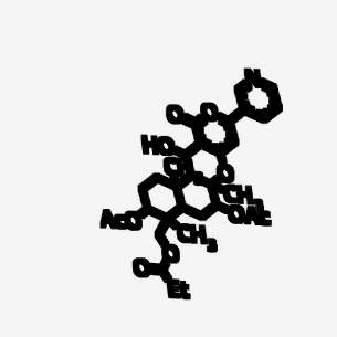 CCC(=O)OCC1(C)C(OC(C)=O)CCC2(C)C1CC(OC(C)=O)C1(C)Oc3cc(-c4cccnc4)oc(=O)c3C(O)C21